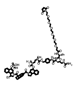 CCC1CN(C(=O)C23CC4C2C2C3C3C2C43C(=O)N2CCc3c2cc(OC(=O)N(C)CCN(C)C(=O)OCc2ccc(NC(=O)[C@H](CCCNC(N)=O)NC(=O)[C@@H](NC(=O)CCOCCOCCOCCOCCOCCOCCN4C(=O)C=CC4=O)C(C)C)cc2)c2ccccc32)c2cc(OP(=O)(O)O)c3ccccc3c21